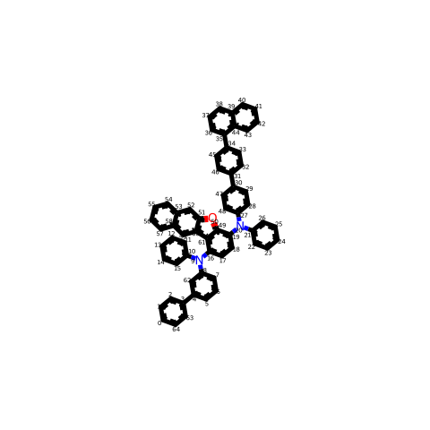 c1ccc(-c2cccc(N(c3ccccc3)c3ccc(N(c4ccccc4)c4ccc(-c5ccc(-c6cccc7ccccc67)cc5)cc4)c4oc5cc6ccccc6cc5c34)c2)cc1